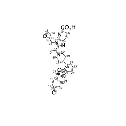 C[C@@H](c1nc2ccc(C(=O)O)nc2n1C[C@@H]1CCO1)N1CCC(c2cccc3c2O[C@](C)(c2ccc(Cl)cc2F)O3)CC1